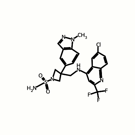 Cn1ncc2cc(C3(CNc4cc(C(F)(F)F)nc5ccc(Cl)cc45)CN(S(N)(=O)=O)C3)ccc21